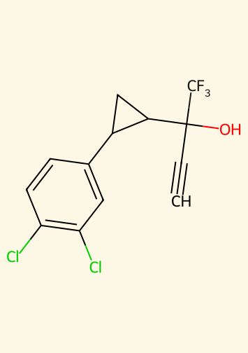 C#CC(O)(C1CC1c1ccc(Cl)c(Cl)c1)C(F)(F)F